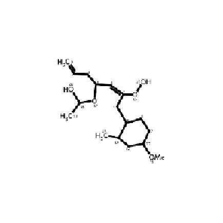 C=CCC(/C=C(\CC1CCC(OC)C[C@H]1C)OO)OC(C)O